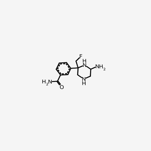 NC(=O)c1cccc(C2(CF)CNCC(N)N2)c1